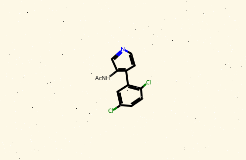 CC(=O)Nc1cnccc1-c1cc(Cl)ccc1Cl